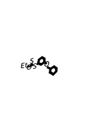 CCOC(=S)Sc1cccc(OCc2ccccc2)c1